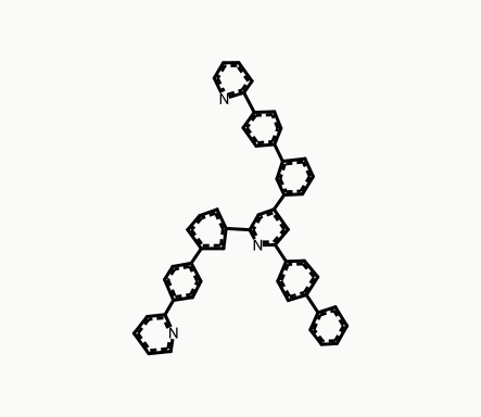 c1ccc(-c2ccc(-c3cc(-c4cccc(-c5ccc(-c6ccccn6)cc5)c4)cc(-c4cccc(-c5ccc(-c6ccccn6)cc5)c4)n3)cc2)cc1